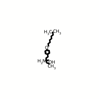 CCC[C@@](N)(CO)CCc1ccc(OCCCCCCCC(C)C)cc1